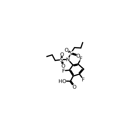 CCCS(=O)(=O)N(c1c(F)cc(F)c(C(=O)O)c1F)S(=O)(=O)CCC